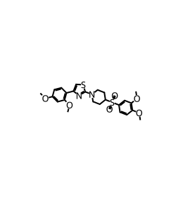 COc1ccc(-c2csc(N3CCC(S(=O)(=O)c4ccc(OC)c(OC)c4)CC3)n2)c(OC)c1